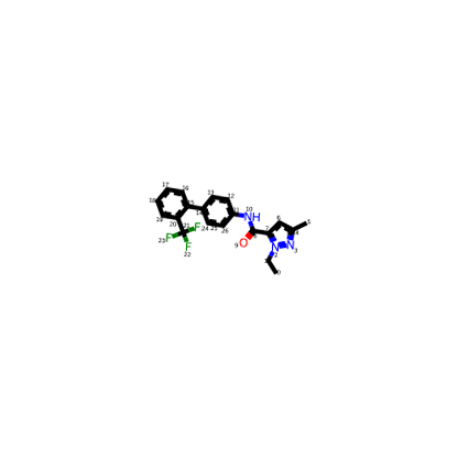 CCn1nc(C)cc1C(=O)Nc1ccc(-c2ccccc2C(F)(F)F)cc1